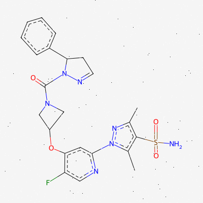 Cc1nn(-c2cc(OC3CN(C(=O)N4N=CCC4c4ccccc4)C3)c(F)cn2)c(C)c1S(N)(=O)=O